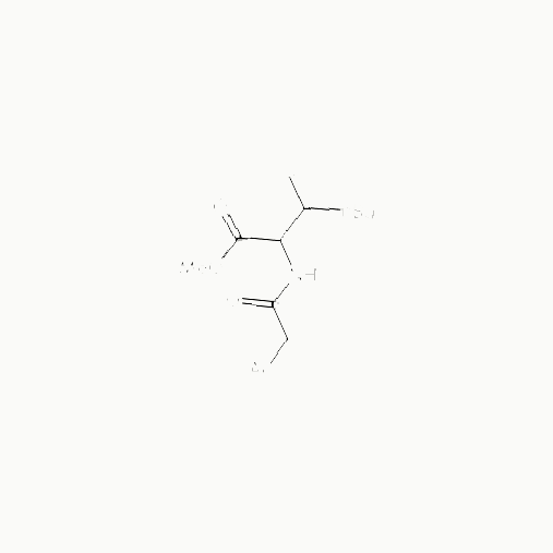 CCCCC(C)C(NC(=O)CC(C)=O)C(=O)OC